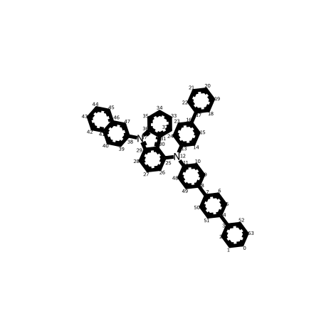 c1ccc(-c2ccc(-c3ccc(N(c4ccc(-c5ccccc5)cc4)c4cccc5c4c4ccccc4n5-c4ccc5ccccc5c4)cc3)cc2)cc1